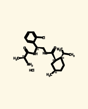 CC(C)[C@@H]1CC[C@@H](C)C[C@H]1C(=O)NC[C@@H](NC(=O)[C@H](C)N)c1ccccc1Cl.Cl